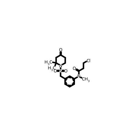 CN(C(=O)CCCl)c1cccc(CS(=O)(=O)N2CCC(=O)CC2(C)C)c1